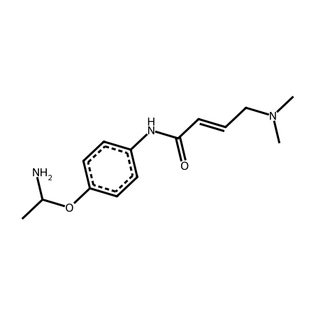 CC(N)Oc1ccc(NC(=O)/C=C/CN(C)C)cc1